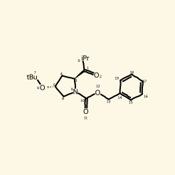 CC(C)C(=O)[C@@H]1C[C@@H](OC(C)(C)C)CN1C(=O)OCc1ccccc1